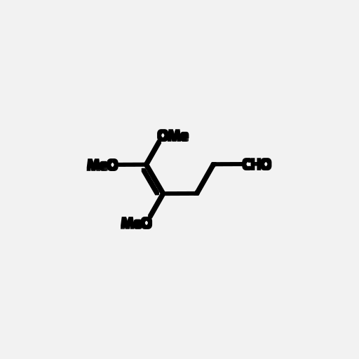 COC(CCC=O)=C(OC)OC